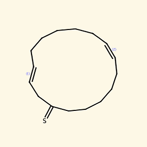 S=C1C/C=C/CCCCC/C=C\CCCCC1